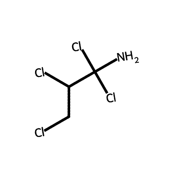 NC(Cl)(Cl)C(Cl)CCl